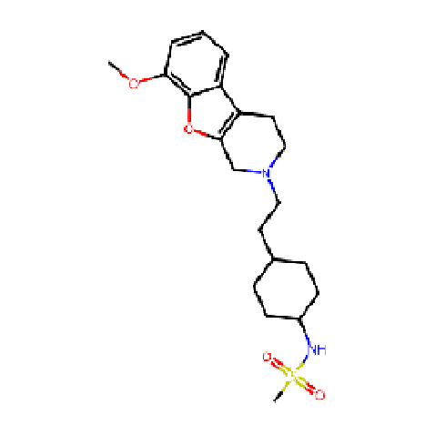 COc1cccc2c3c(oc12)CN(CCC1CCC(NS(C)(=O)=O)CC1)CC3